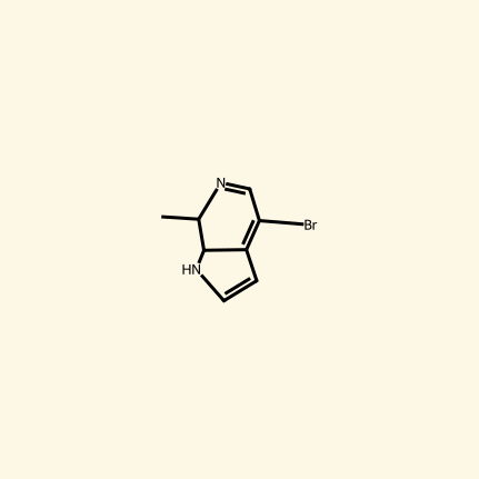 CC1N=CC(Br)=C2C=CNC21